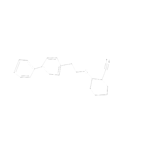 N#CC1CCCCC1SCCc1ccc(-c2ccccc2)cc1